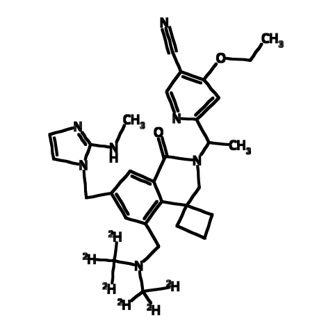 [2H]C([2H])([2H])N(Cc1cc(Cn2ccnc2NC)cc2c1C1(CCC1)CN(C(C)c1cc(OCC)c(C#N)cn1)C2=O)C([2H])([2H])[2H]